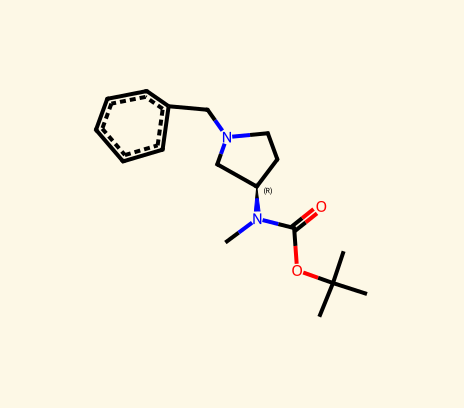 CN(C(=O)OC(C)(C)C)[C@@H]1CCN(Cc2ccccc2)C1